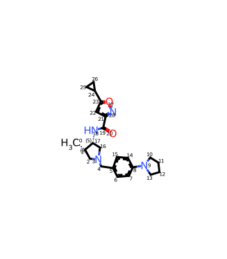 C[C@H]1CN(Cc2ccc(N3CCCC3)cc2)C[C@H]1NC(=O)c1cc(C2CC2)on1